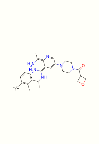 C/C(N)=c1\ncc(N2CCN(C(=O)C3COC3)CC2)c\c1=C(\N)N[C@H](C)c1cccc(C(F)(F)F)c1C